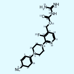 N#CC1C=CC(N2CCN(c3nccc(COC(=O)NC(=N)N)c3F)CC2)=CC1